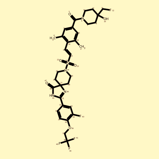 Cc1cc(C(=O)N2CCC(O)(CF)CC2)cc(C)c1/C=C/S(=O)(=O)N1CCC2(CC1)N=C(c1ccc(OCC(F)(F)F)c(F)c1)NC2=O